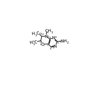 CC1Oc2cnc(N)nc2N(C)C1C